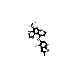 Cc1cc2c(F)c(Oc3ccnc4cc(OI)c5c(c34)CCO5)ccc2[nH]1